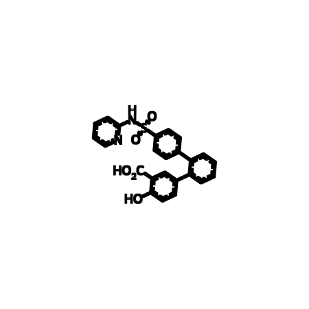 O=C(O)c1cc(-c2ccccc2-c2ccc(S(=O)(=O)Nc3ccccn3)cc2)ccc1O